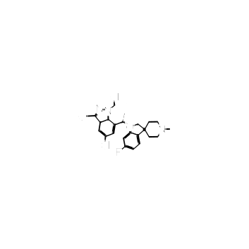 C[C@@H](OCC1(c2ccc(F)cc2)CCN(C)CC1)C1=CC(Cl)=CC2C(Cl)=NN(CC(F)(F)F)C12